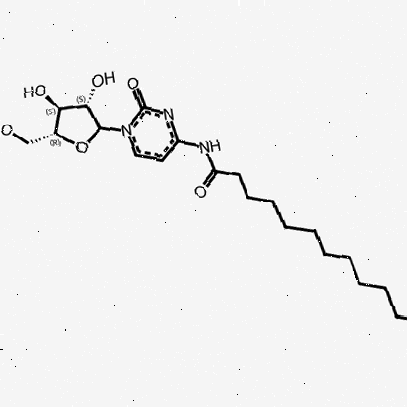 CCCCCCCCCCCC(=O)Nc1ccn(C2O[C@H](CO)[C@@H](O)[C@@H]2O)c(=O)n1